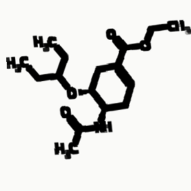 CCOC(=O)C1=CC[C@@H](NC(C)=O)[C@H](OC(CC)CC)C1